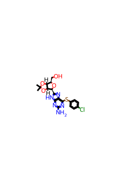 CC1(C)O[C@@H]2[C@H](O1)[C@@H](CO)O[C@H]2c1nc2c(Sc3ccc(Cl)cc3)nc(N)nc2[nH]1